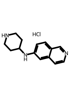 Cl.c1cc2cc(NC3CCNCC3)ccc2cn1